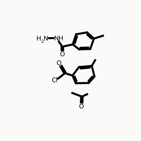 CC(C)=O.Cc1ccc(C(=O)NN)cc1.Cc1cccc(C(=O)Cl)c1